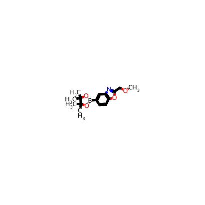 COCc1nc2cc(B3OC(C)(C)C(C)(C)O3)ccc2o1